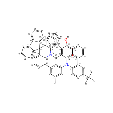 Cc1cc2c3c(c1)N(c1ccc(C(C)(C)C)cc1-c1ccccc1)c1ccc4oc5ccccc5c4c1B3N1c3ccccc3C3(c4ccccc4-c4ccccc43)c3cccc-2c31